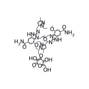 CCn1nc(C)cc1C/N=c1\[nH]c2cc(C(N)=O)cc(OCCCO[C@@H]3[C@@H](O)[C@@H](OC)O[C@H](CO)[C@H]3O)c2n1C/C=C/Cn1/c(=N\C(=O)c2cc(C)nn2CC)[nH]c2cc(C(N)=O)cc(OC)c21